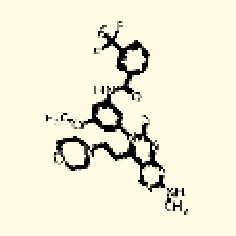 CNc1ncc2c(CCN3CCOCC3)n(-c3cc(NC(=O)c4cccc(C(F)(F)F)c4)cc(OC)c3)c(=O)nc2n1